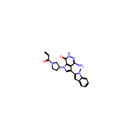 C=CC(=O)N1CC[C@H](n2cc(-c3cc4ccccc4n3C)c3c(N)n[nH]c(=O)c32)C1